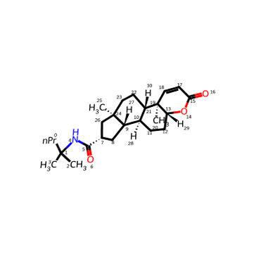 CCCC(C)(C)NC(=O)[C@H]1C[C@H]2[C@@H]3CC[C@H]4OC(=O)C=C[C@]4(C)[C@H]3CC[C@]2(C)C1